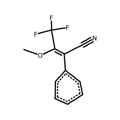 COC(=C(C#N)c1ccccc1)C(F)(F)F